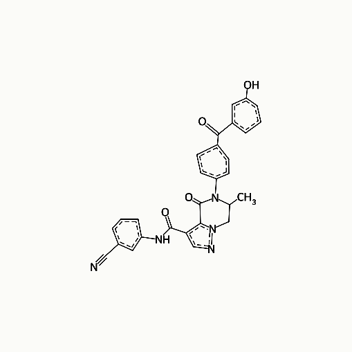 CC1Cn2ncc(C(=O)Nc3cccc(C#N)c3)c2C(=O)N1c1ccc(C(=O)c2cccc(O)c2)cc1